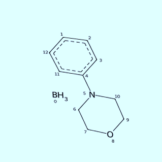 B.c1ccc(N2CCOCC2)cc1